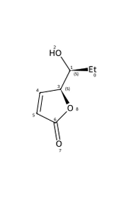 CC[C@H](O)[C@@H]1C=CC(=O)O1